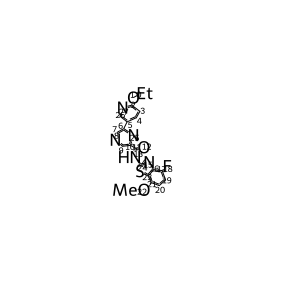 CCOc1ccc(-c2cncc(C(=O)Nc3nc4c(F)ccc(OC)c4s3)n2)cn1